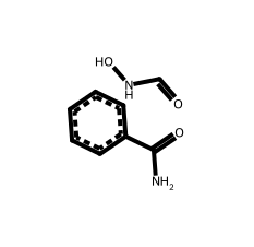 NC(=O)c1ccccc1.O=CNO